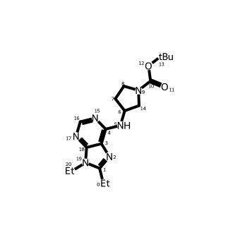 CCc1nc2c(NC3CCN(C(=O)OC(C)(C)C)C3)ncnc2n1CC